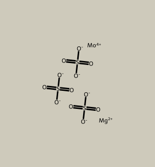 O=S(=O)([O-])[O-].O=S(=O)([O-])[O-].O=S(=O)([O-])[O-].[Mg+2].[Mo+4]